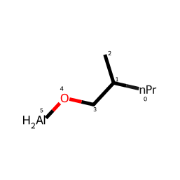 CCCC(C)C[O][AlH2]